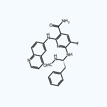 NC(=O)c1cc(F)c(N[C@H](Cc2ccccc2)NC=O)nc1Nc1ccc2ncccc2c1